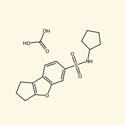 O=C(O)O.O=S(=O)(NC1CCCC1)c1ccc2c3c(oc2c1)CCC3